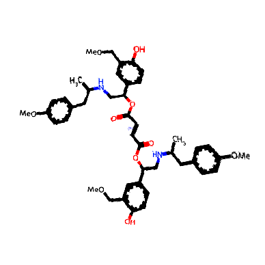 COCc1cc(C(CNC(C)Cc2ccc(OC)cc2)OC(=O)/C=C/C(=O)OC(CNC(C)Cc2ccc(OC)cc2)c2ccc(O)c(COC)c2)ccc1O